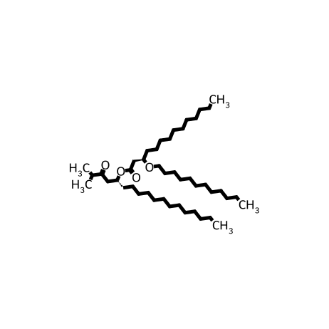 CCCCCCCCCCCCC[C@H](CC(=O)C(C)C)OC(=O)C[C@@H](CCCCCCCCCCC)OCCCCCCCCCCCC